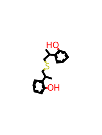 CC(CSCC(C)c1ccccc1O)c1ccccc1O